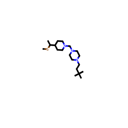 CSC(C)C1CCN(CN2CCN(CCC(C)(C)C)CC2)CC1